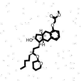 CCCCC[C@@H](CC[C@@H]1[C@H]2Cc3cccc(OCC(=O)OC)c3C[C@H]2C[C@H]1O)OC1CCCCO1